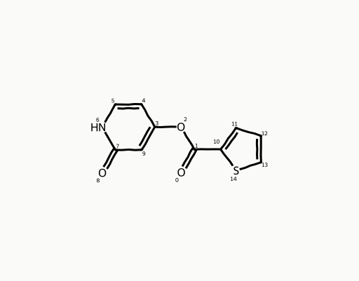 O=C(Oc1cc[nH]c(=O)c1)c1cccs1